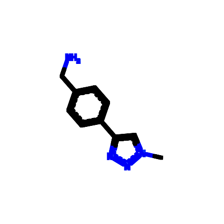 Cn1cc(-c2ccc(CN)cc2)nn1